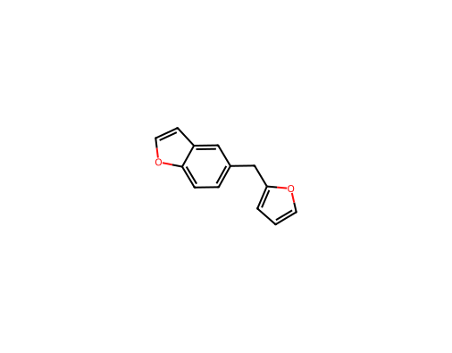 c1coc(Cc2ccc3occc3c2)c1